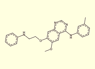 COc1cc2c(Nc3cccc(C)c3)ncnc2cc1OCCNc1ccccc1